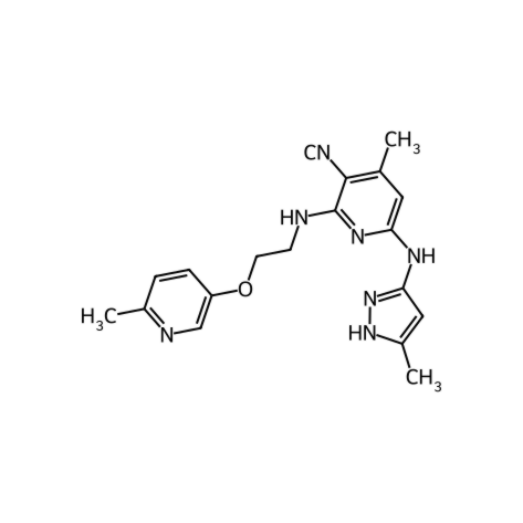 [C-]#[N+]c1c(C)cc(Nc2cc(C)[nH]n2)nc1NCCOc1ccc(C)nc1